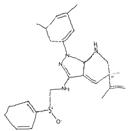 C=C(C)[C@@]1(C)C=C2C(NC[S+]([O-])C3=CCCC=C3)=NN(C3=CC(C)=CC(C)C3)C2NC1